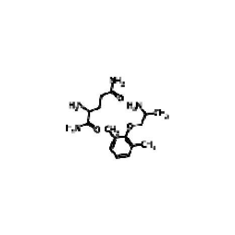 Cc1cccc(C)c1OCC(C)N.NC(=O)CCC(N)C(N)=O